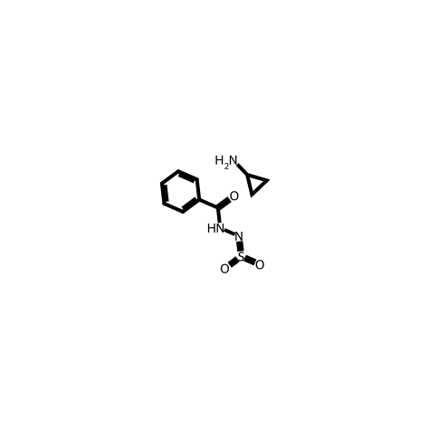 NC1CC1.O=C(NN=S(=O)=O)c1ccccc1